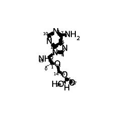 C[C@H](Cn1cnc2c(N)ncnc21)OCO[PH](=O)O.N